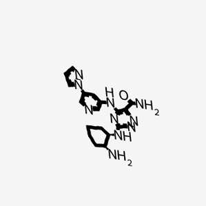 NC(=O)c1nnc(N[C@@H]2CCCC[C@@H]2N)nc1Nc1cncc(-n2cccn2)c1